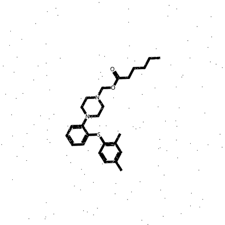 CCCCCC(=O)OCN1CCN(c2ccccc2Sc2ccc(C)cc2C)CC1